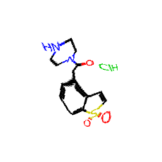 Cl.O=C(c1cccc2c1C=CS2(=O)=O)N1CCNCC1